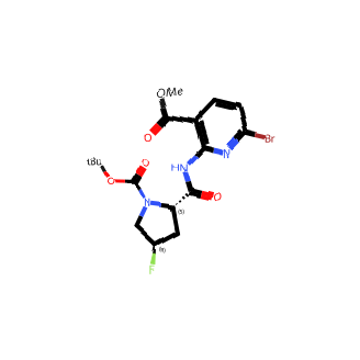 COC(=O)c1ccc(Br)nc1NC(=O)[C@@H]1C[C@@H](F)CN1C(=O)OC(C)(C)C